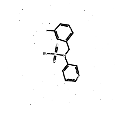 CCS(=O)(=O)N(Cc1cccc(I)c1)c1cccnc1